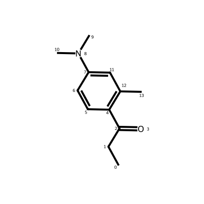 CCC(=O)c1ccc(N(C)C)cc1C